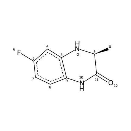 C[C@@H]1Nc2cc(F)ccc2NC1=O